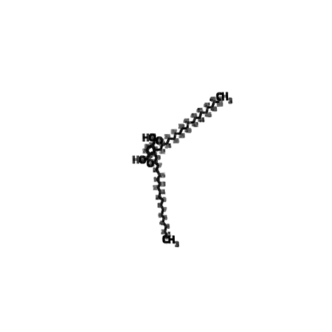 CCCCCCCCCCCCCCCCCCCCc1c(C(=O)O)ccc(C(=O)O)c1CCCCCCCCCCCCCCCCCCCC